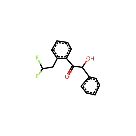 O=C(c1ccccc1CC(F)F)C(O)c1ccccc1